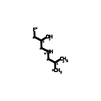 CC(C)CNCC(O)CF